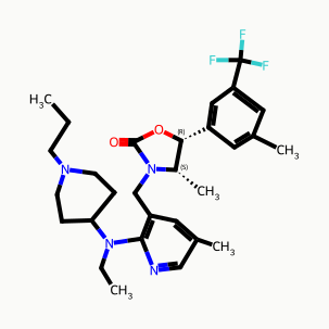 CCCN1CCC(N(CC)c2ncc(C)cc2CN2C(=O)O[C@H](c3cc(C)cc(C(F)(F)F)c3)[C@@H]2C)CC1